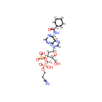 N#CCCOP(=O)(O)OC[C@@]1(CO)OC(n2cnc3c(NC(=O)c4ccccc4)ncnc32)CC1O[PH](=O)O